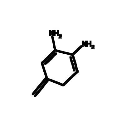 C=C1C=C(N)C(N)=CC1